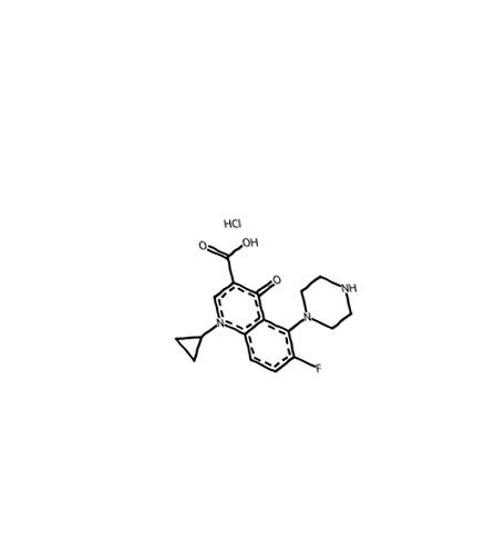 Cl.O=C(O)c1cn(C2CC2)c2ccc(F)c(N3CCNCC3)c2c1=O